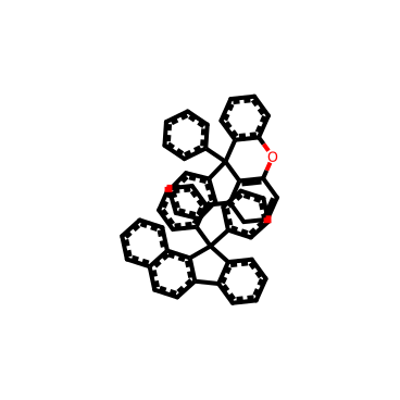 C1=CC2=C(C(c3ccccc3C3(c4ccccc4)c4ccccc4-c4ccc5ccccc5c43)C1)C(c1ccccc1)(c1ccccc1)c1ccccc1O2